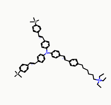 CC[N+](CC)(CC)CCCCCCc1ccc(/C=C/c2ccc(N(c3ccc(/C=C/c4ccc([Si](C)(C)C)cc4)cc3)c3ccc(/C=C/c4ccc([Si](C)(C)C)cc4)cc3)cc2)cc1